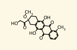 CO[C@]1(C(=O)CO)CCc2c(O)c3c(c(O)c2C1)C(=O)c1cccc(C)c1C3=O